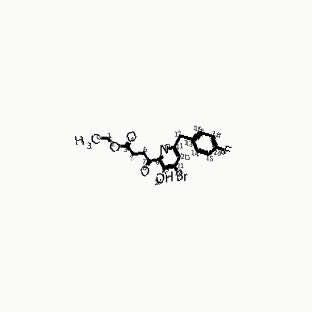 CCOC(=O)CCC(=O)c1nc(Cc2ccc(F)cc2)cc(Br)c1O